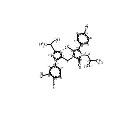 CC(O)c1nc(Cn2c(Cl)c(-c3ccc(Cl)cc3)n(CC(O)C(F)(F)F)c2=O)n(-c2ccc(F)c(Cl)c2)n1